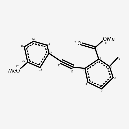 COC(=O)c1c(C)cccc1C#Cc1cccc(OC)c1